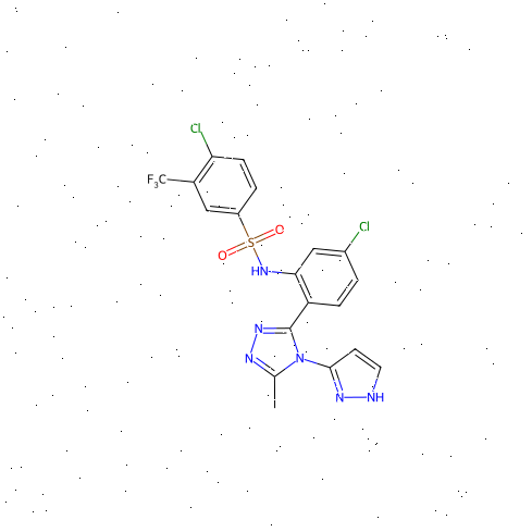 Cc1nnc(-c2ccc(Cl)cc2NS(=O)(=O)c2ccc(Cl)c(C(F)(F)F)c2)n1-c1cc[nH]n1